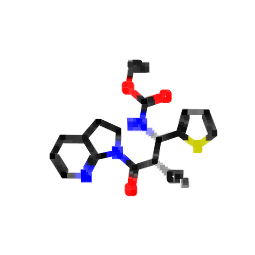 CC(C)(C)OC(=O)N[C@H](c1cccs1)[C@@H](C(=O)N1CCc2cccnc21)C(F)(F)F